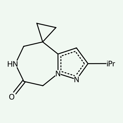 CC(C)c1cc2n(n1)CC(=O)NCC21CC1